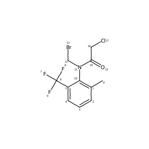 Cc1cccc(C(F)(F)F)c1N(CBr)C(=O)CCl